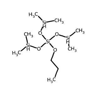 CCCO[Si](O[SiH](C)C)(O[SiH](C)C)O[SiH](C)C